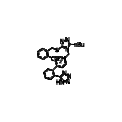 CCCCc1nnc(SCc2ccccc2C(=O)O)n1Cc1ccc(-c2ccccc2-c2nnn[nH]2)cc1